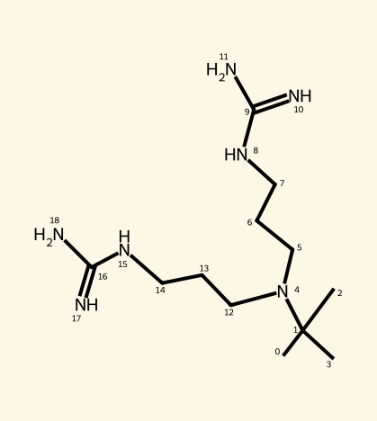 CC(C)(C)N(CCCNC(=N)N)CCCNC(=N)N